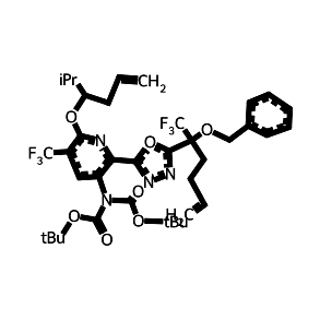 C=CCCC(OCc1ccccc1)(c1nnc(-c2nc(OC(CC=C)C(C)C)c(C(F)(F)F)cc2N(C(=O)OC(C)(C)C)C(=O)OC(C)(C)C)o1)C(F)(F)F